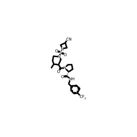 CC1CCN(S(=O)(=O)N2CC(C#N)C2)CC1C(=O)N1CCC[C@@H]1C(=O)NCc1ccc(C(F)(F)F)cc1